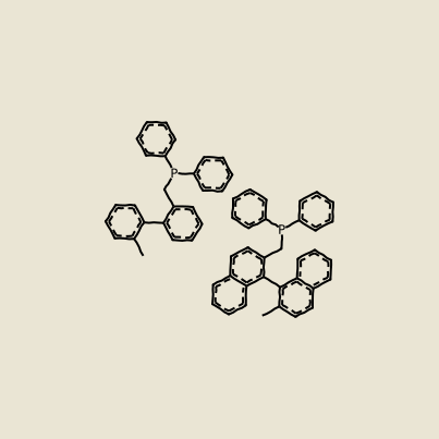 Cc1ccc2ccccc2c1-c1c(CP(c2ccccc2)c2ccccc2)ccc2ccccc12.Cc1ccccc1-c1ccccc1CP(c1ccccc1)c1ccccc1